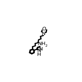 NC(CCCCN1CCOCC1)CCCc1ccccc1-c1ccn[nH]1